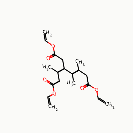 C=COC(=O)CC(C)C(C)C(CC(=O)OC=C)C(C)CC(=O)OC=C